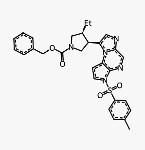 CC[C@@H]1CN(C(=O)OCc2ccccc2)C[C@@H]1c1cnc2cnc3c(ccn3S(=O)(=O)c3ccc(C)cc3)n12